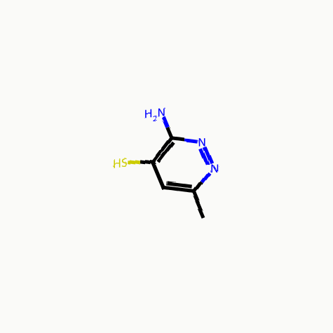 Cc1cc(S)c(N)nn1